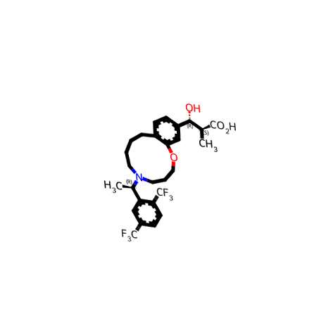 C[C@H](C(=O)O)[C@@H](O)c1ccc2c(c1)OCCCN([C@H](C)c1cc(C(F)(F)F)ccc1C(F)(F)F)CCCC2